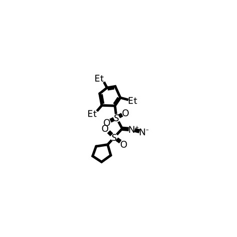 CCc1cc(CC)c(S(=O)(=O)C(=[N+]=[N-])S(=O)(=O)C2CCCC2)c(CC)c1